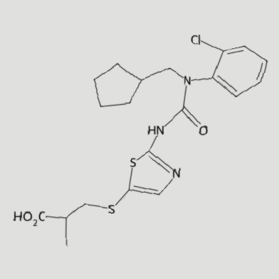 CC(CSc1cnc(NC(=O)N(CC2CCCC2)c2ccccc2Cl)s1)C(=O)O